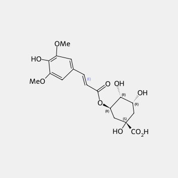 COc1cc(/C=C/C(=O)O[C@@H]2C[C@](O)(C(=O)O)C[C@@H](O)[C@H]2O)cc(OC)c1O